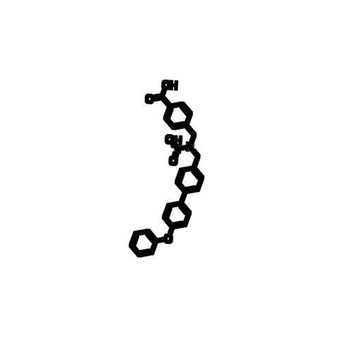 O=C(O)c1ccc(CN(Cc2ccc(-c3ccc(Oc4ccccc4)cc3)cc2)[SH](=O)=O)cc1